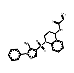 C=CC(=O)NC1CCN(S(=O)(=O)c2cnn(-c3ccccc3)c2C)c2ccccc21